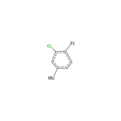 CCc1ccc(C(C)(C)C)cc1Cl